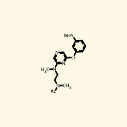 CSc1cccc(Oc2cncc(N(C)CCN(C)C(C)=O)n2)c1